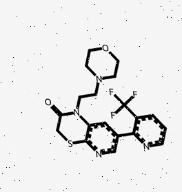 O=C1CSc2ncc(-c3ncccc3C(F)(F)F)cc2N1CCN1CCOCC1